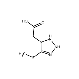 CSC1=NNNN1CC(=O)O